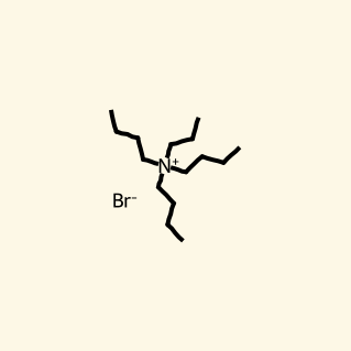 CCCC[N+](CCC)(CCCC)CCCC.[Br-]